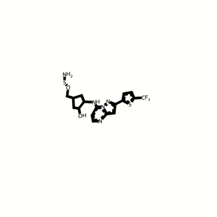 NSOCC1CC(O)C(Nc2ccnc3cc(-c4ccc(C(F)(F)F)s4)nn23)C1